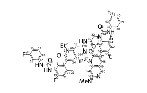 CCn1c(=O)c(-c2cc(NC(=O)Nc3cccc(F)c3)c(F)cc2C)cc2cnc(NC(=O)CN(C(=O)Nc3cccc(F)c3)c3cc(-c4cc5cnc(NC)cc5n(C(C)C)c4=O)c(Cl)cc3F)cc21